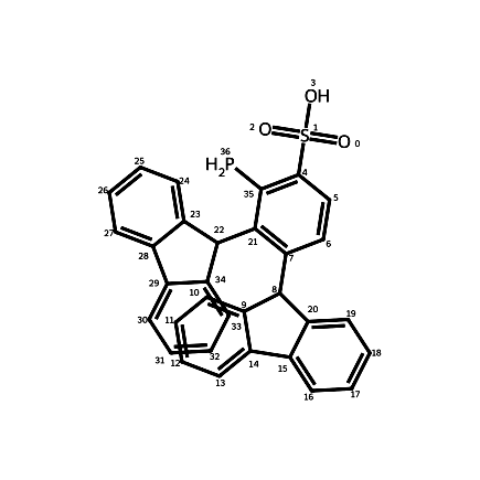 O=S(=O)(O)c1ccc(C2c3ccccc3-c3ccccc32)c(C2c3ccccc3-c3ccccc32)c1P